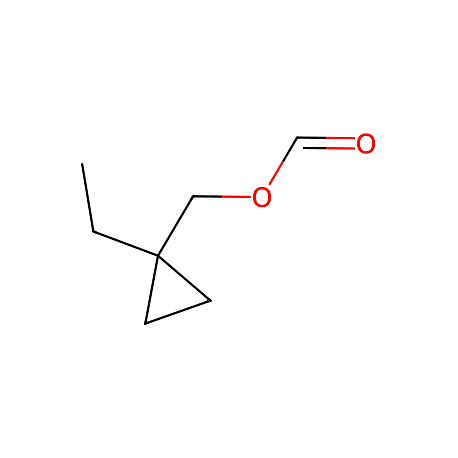 CCC1(COC=O)CC1